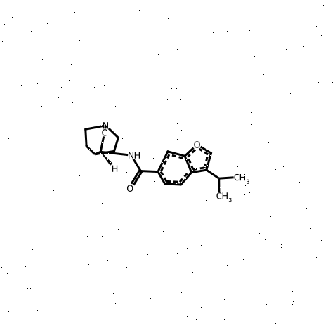 CC(C)c1coc2cc(C(=O)N[C@H]3CN4CCC3CC4)ccc12